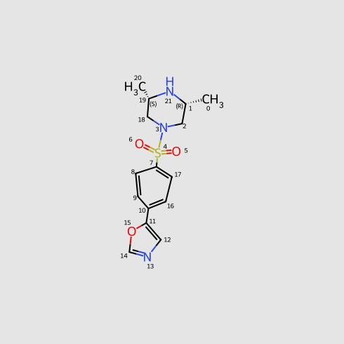 C[C@@H]1CN(S(=O)(=O)c2ccc(-c3cnco3)cc2)C[C@H](C)N1